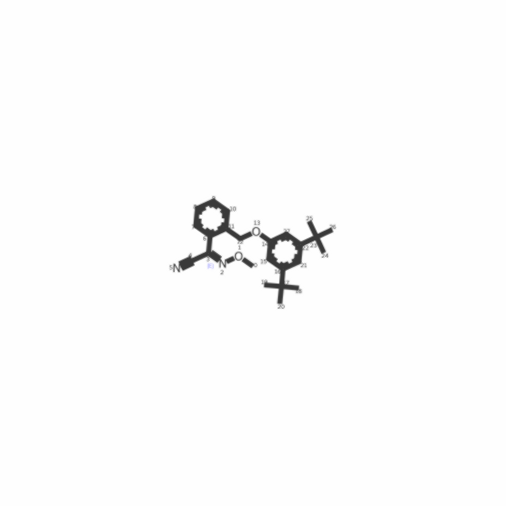 CO/N=C(/C#N)c1ccccc1COc1cc(C(C)(C)C)cc(C(C)(C)C)c1